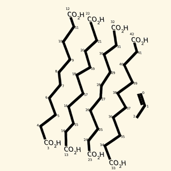 C=CC.O=C(O)CCCCCCCCC(=O)O.O=C(O)CCCCCCCCC(=O)O.O=C(O)CCCCCCCCC(=O)O.O=C(O)CCCCCCCCC(=O)O